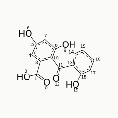 O=C(O)c1cc(O)cc(O)c1C(=O)c1ccccc1O